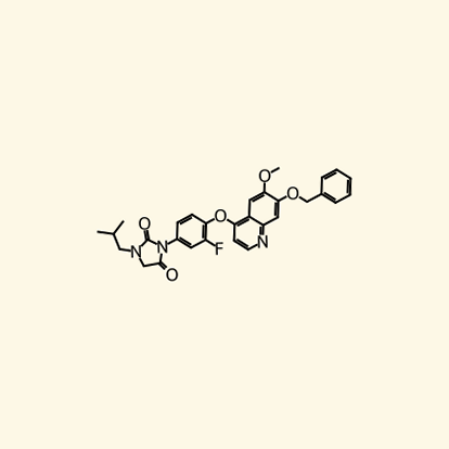 COc1cc2c(Oc3ccc(N4C(=O)CN(CC(C)C)C4=O)cc3F)ccnc2cc1OCc1ccccc1